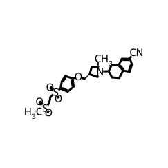 C[C@@H]1C[C@H](COc2ccc(S(=O)(=O)CCS(C)(=O)=O)cc2)CN1C1CCc2ccc(C#N)cc2C1